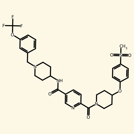 CS(=O)(=O)c1ccc(OC2CCN(C(=O)c3ccc(C(=O)NC4CCN(Cc5cccc(OC(F)(F)F)c5)CC4)cn3)CC2)cc1